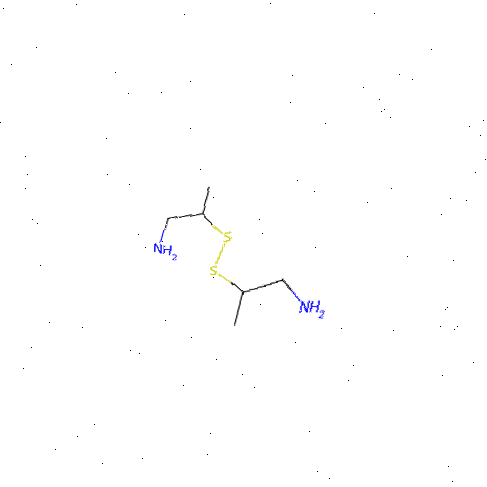 CC(CN)SSC(C)CN